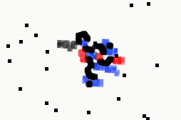 N[C@@H](CO)C(=O)N[C@@H](Cc1c[nH]cn1)C(=O)N[C@@H](Cc1c[nH]cn1)C(=O)N1CCC[C@H]1C(=O)O